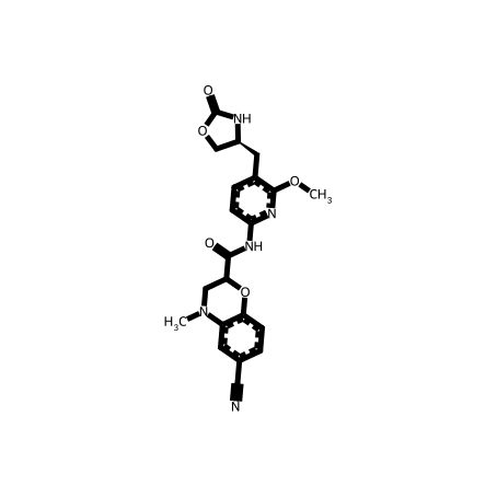 COc1nc(NC(=O)C2CN(C)c3cc(C#N)ccc3O2)ccc1C[C@H]1COC(=O)N1